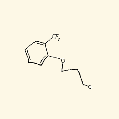 [O]CCCOc1ccccc1C(F)(F)F